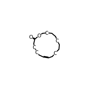 O=C1CCCCC=CCCCCCCCCCO1